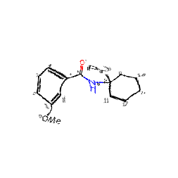 COc1cccc(C(=O)NC2(C(C)C)CCCCC2)c1